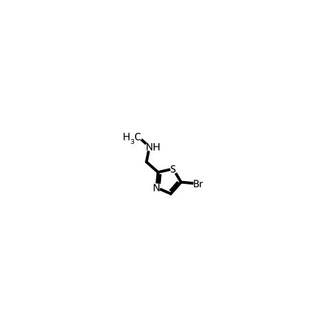 CNCc1ncc(Br)s1